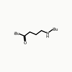 CCC(C)NCCCC(=O)C(C)CC